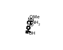 COc1nc(N)c2c(n1)CCN(c1ccc(C3(CO)CCC3)cc1)C2=O